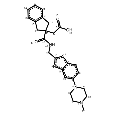 CN1CCN(c2ccc3sc(CNC(=O)C4(CC(=O)O)Cc5ccccc5C4)nc3c2)CC1